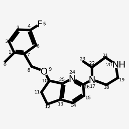 Cc1ccc(F)cc1COC1CCc2ccc(N3CCNCC3C)nc21